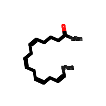 CCCCC/C=C\C/C=C\C/C=C\C/C=C\CCCC(=O)CCCCCCCCC